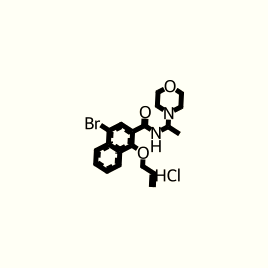 C=CCOc1c(C(=O)NC(C)N2CCOCC2)cc(Br)c2ccccc12.Cl